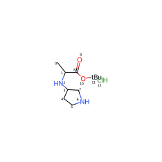 CC(NC1CCNC1)C(=O)OC(C)(C)C.Cl